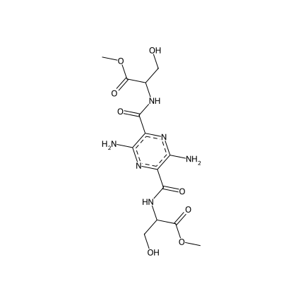 COC(=O)C(CO)NC(=O)c1nc(N)c(C(=O)NC(CO)C(=O)OC)nc1N